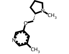 Cc1cncc(OC[C@@H]2CCCN2C)c1